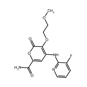 COCCOc1c(Nc2ncccc2F)cc(C(N)=O)oc1=O